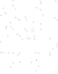 Cc1ccc(-c2cnc(N)c3cnc(O[C@H]4CC[C@H](O)CC4)nc23)cc1